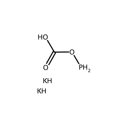 O=C(O)OP.[KH].[KH]